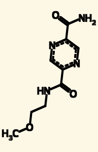 COCCNC(=O)c1cnc(C(N)=O)cn1